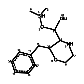 C[SiH](C)OC(C1NCCOC1Cc1ccccc1)C(C)(C)C